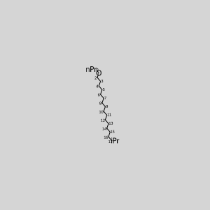 [CH2]CCOCCCCCCCCCCCCCCCC(C)C